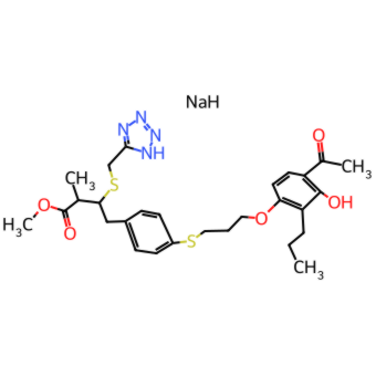 CCCc1c(OCCCSc2ccc(CC(SCc3nnn[nH]3)C(C)C(=O)OC)cc2)ccc(C(C)=O)c1O.[NaH]